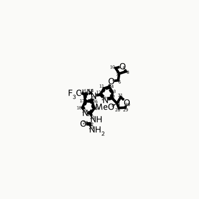 CO[C@@]1(c2cc(OCC3COC3)cc(-n3nc(C(F)(F)F)c4cnc(NC(N)=O)cc43)n2)CCOC1